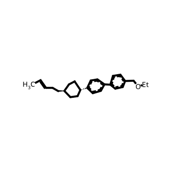 CC=CCC[C@H]1CC[C@H](c2ccc(-c3ccc(COCC)cc3)cc2)CC1